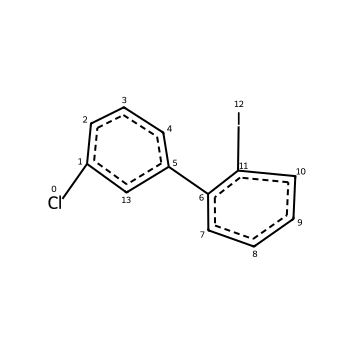 Clc1cccc(-c2ccccc2I)c1